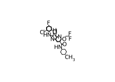 C[C@H]1CC[C@H](NC(=O)c2cc3nc(Nc4c(Cl)cc(F)cc4Cl)[nH]c3nc2OCC(F)F)CC1